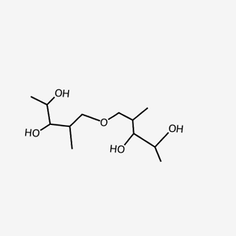 CC(O)C(O)C(C)COCC(C)C(O)C(C)O